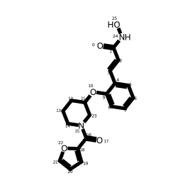 O=C(C=Cc1ccccc1OC1CCCN(C(=O)c2ccco2)C1)NO